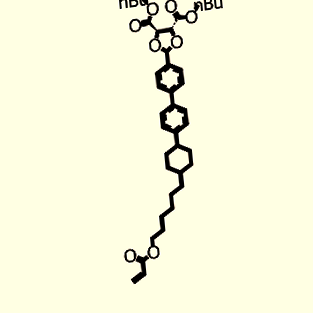 C=CC(=O)OCCCCCCC1CCC(c2ccc(-c3ccc(C4O[C@@H](C(=O)OCCCC)[C@H](C(=O)OCCCC)O4)cc3)cc2)CC1